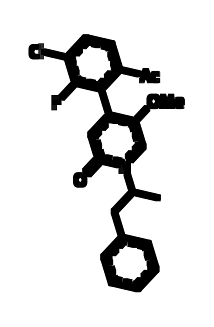 COc1cn(C(C)Cc2ccccc2)c(=O)cc1-c1c(C(C)=O)ccc(Cl)c1F